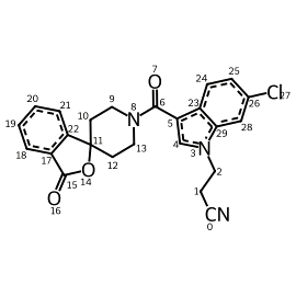 N#CCCn1cc(C(=O)N2CCC3(CC2)OC(=O)c2ccccc23)c2ccc(Cl)cc21